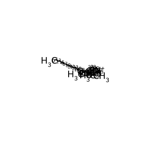 CCCCCCCCCCCCCCCCOCC(COP(=O)(O)Oc1cccc(C[n+]2ccsc2CC(C)C)c1)OC